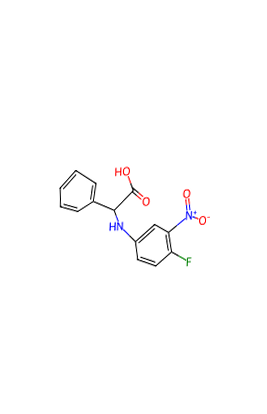 O=C(O)C(Nc1ccc(F)c([N+](=O)[O-])c1)c1ccccc1